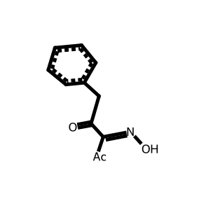 CC(=O)C(=NO)C(=O)Cc1ccccc1